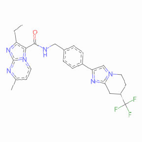 CCc1nc2nc(C)ccn2c1C(=O)NCc1ccc(-c2cn3c(n2)CC(C(F)(F)F)CC3)cc1